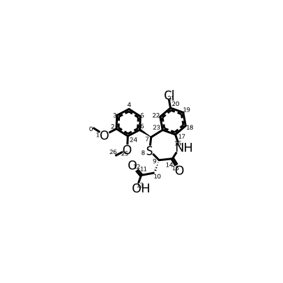 COc1cccc([C@@H]2S[C@@H](CC(=O)O)C(=O)Nc3ccc(Cl)cc32)c1OC